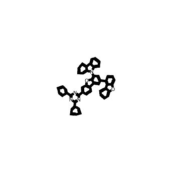 c1ccc(-c2nc(-c3ccccc3)nc(-c3ccc4c(c3)oc3c(-n5c6ccccc6c6ccccc65)cc(-c5cccc6oc7ccccc7c56)cc34)n2)cc1